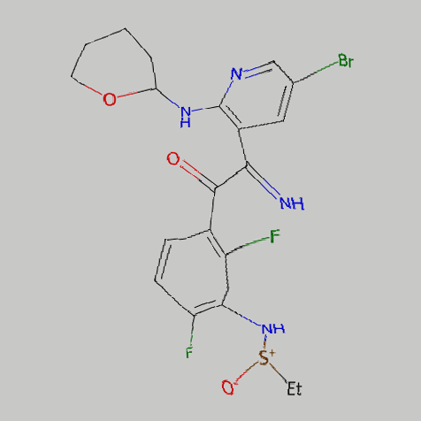 CC[S+]([O-])Nc1c(F)ccc(C(=O)C(=N)c2cc(Br)cnc2NC2CCCCO2)c1F